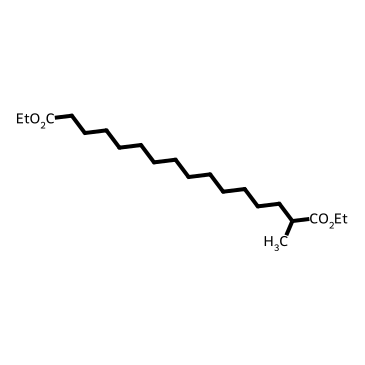 CCOC(=O)CCCCCCCCCCCCCC(C)C(=O)OCC